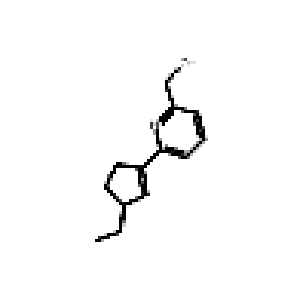 CCC1C=C(c2cccc(CO)n2)CC1